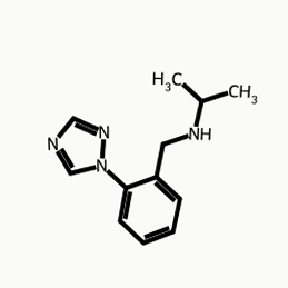 CC(C)NCc1ccccc1-n1cncn1